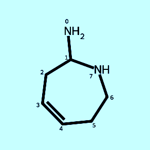 NC1CC=CCCN1